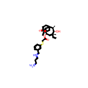 C=C[C@]1(C)C[C@@H](OC(=O)CSc2cccc(CNCCCN)c2)[C@]2(C)C(C)CC34CC(CCC3=O)(C42)[C@@H](C)[C@@H]1O